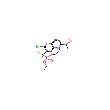 CCOP(=O)(OCC)C(F)(F)c1cc2nc(C(C)O)ccc2cc1Br